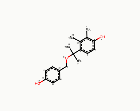 CC(C)(C)c1c(O)ccc(C(OCc2ccc(O)cc2)(C(C)(C)C)C(C)(C)C)c1C(C)(C)C